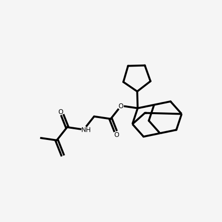 C=C(C)C(=O)NCC(=O)OC1(C2CCCC2)C2CC3CC(C2)CC1C3